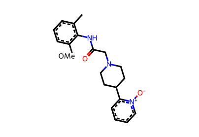 COc1cccc(C)c1NC(=O)CN1CCC(c2cccc[n+]2[O-])CC1